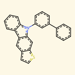 c1ccc(-c2cccc(-n3c4ccccc4c4cc5ccsc5cc43)c2)cc1